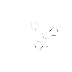 CC(C)CCCCC(C(O)N1c2ccccc2CCC1c1ccccc1)N1CCCC1